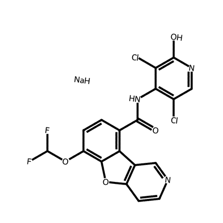 O=C(Nc1c(Cl)cnc(O)c1Cl)c1ccc(OC(F)F)c2oc3ccncc3c12.[NaH]